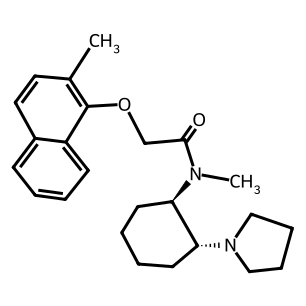 Cc1ccc2ccccc2c1OCC(=O)N(C)[C@@H]1CCCC[C@H]1N1CCCC1